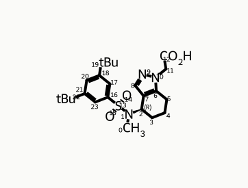 CN([C@@H]1CCCc2c1cnn2CC(=O)O)S(=O)(=O)c1cc(C(C)(C)C)cc(C(C)(C)C)c1